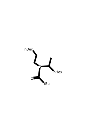 CCCCCCCCCCCCN(C(=O)C(C)(C)C)C(C)CCCCCC